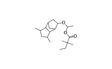 CCC(C)(C)C(=O)OC(C)OC1CC2CC1C1C(C)CC(C)C21